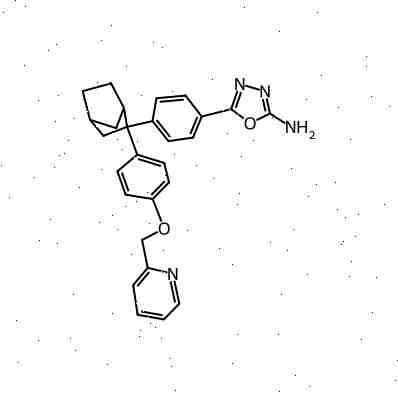 Nc1nnc(-c2ccc(C3(c4ccc(OCc5ccccn5)cc4)CC4CCC3C4)cc2)o1